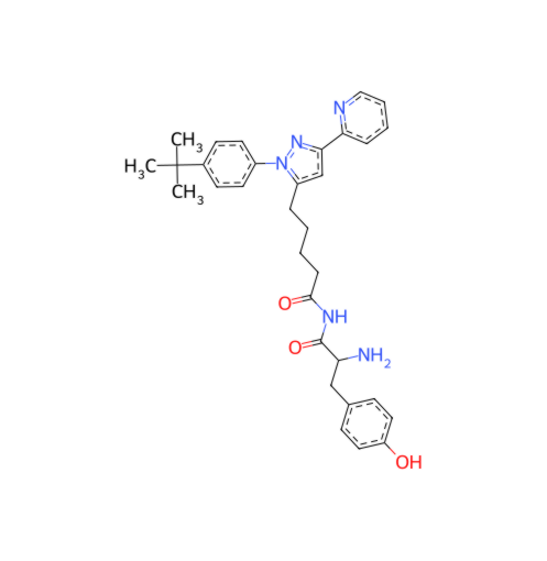 CC(C)(C)c1ccc(-n2nc(-c3ccccn3)cc2CCCCC(=O)NC(=O)C(N)Cc2ccc(O)cc2)cc1